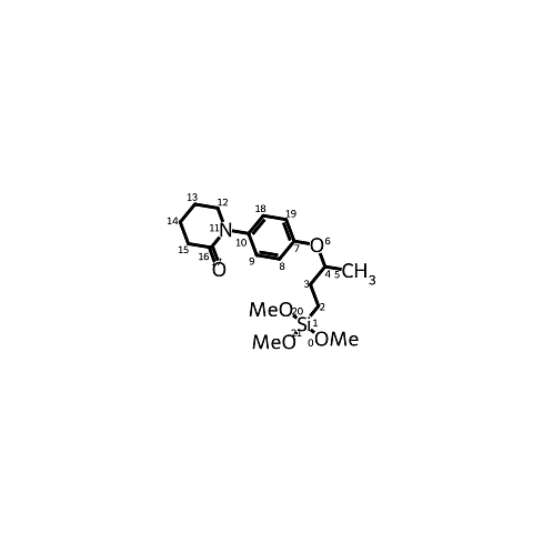 CO[Si](CCC(C)Oc1ccc(N2CCCCC2=O)cc1)(OC)OC